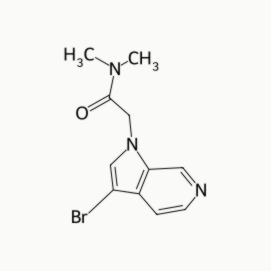 CN(C)C(=O)Cn1cc(Br)c2ccncc21